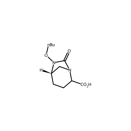 CCCCON1C(=O)N2C[C@@H]1CCC2C(=O)O